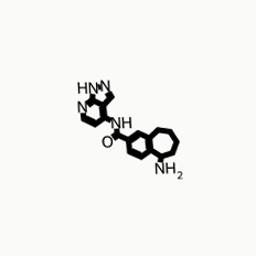 NC1CCCCc2cc(C(=O)Nc3ccnc4[nH]ncc34)ccc21